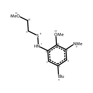 CNc1cc(C(C)(C)C)cc(NSCCOC)c1OC